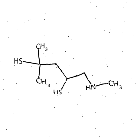 CNCC(S)CC(C)(C)S